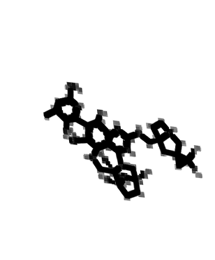 Cc1cc(N)nc(-c2c(Cl)c3c4c(nc(OC[C@@]56CCN5CC5(CC5(F)F)C6)nc4c2F)N2C[C@H]4CC[C@H](N4)[C@H]2CO3)c1C(F)(F)F